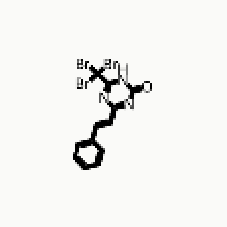 O=c1nc(C=Cc2ccccc2)nc(C(Br)(Br)Br)[nH]1